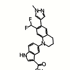 Cn1cc(-c2cc3c(cc2C(F)F)N(c2ccc4[nH]cc(C(=O)O)c4c2)CCC3)cn1